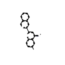 O/N=c1\cc(-c2cc3ccccc3cn2)oc2ccc(Br)cc12